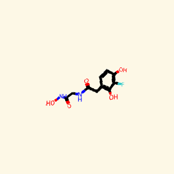 O=C(CNC(=O)Cc1ccc(O)c(F)c1O)NO